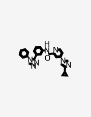 O=C(Nc1cccc(-c2nncn2-c2ccccc2)c1)c1cc(-n2cnc(C3CC3)c2)ccn1